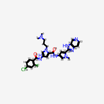 CN(C)CCCn1cc(NC(=O)c2ccc(Cl)cc2F)cc1C(=O)Nc1cc(-c2nc3ccncc3[nH]2)n(C)c1